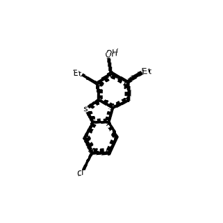 CCc1cc2c(sc3cc(Cl)ccc32)c(CC)c1O